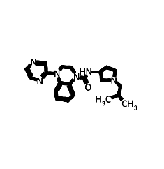 CC(C)CN1CC[C@H](NC(=O)N2CCN(c3cnccn3)c3ccccc32)C1